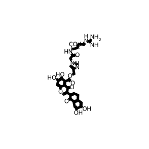 N=C(N)NCCC[C@H](NC(=O)Cn1cc(COC(=O)c2c(O)c(O)cc3occ(C4=CCc5cc(O)c(O)cc5C4=O)c(=O)c23)nn1)C(=O)O